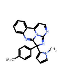 COc1ccc(C2(c3cccn3C)N=C3N=CC=C4c5ccccc5N=C2N43)cc1